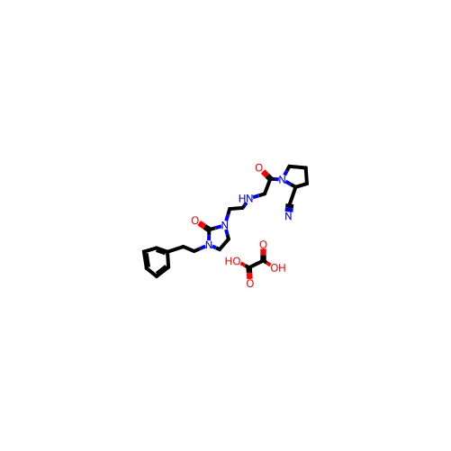 N#CC1CCCN1C(=O)CNCCN1CCN(CCc2ccccc2)C1=O.O=C(O)C(=O)O